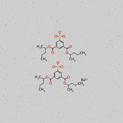 CCCC(C)OC(=O)c1cc(C(=O)OC(C)CCC)cc(S(=O)(=O)[O-])c1.CCCC(C)OC(=O)c1cc(C(=O)OC(C)CCC)cc(S(=O)(=O)[O-])c1.[Ba+2]